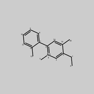 CCc1c[n+](C)c(-c2ccccc2C)cc1C